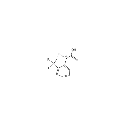 O=C(O)[C@@H](F)c1ccccc1C(F)(F)F